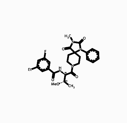 CCc1cc(F)cc(C(=O)N[C@@H](C(=O)N2CCC3(CC2)C(=O)N(C)C(=O)N3c2ccccc2)[C@H](C)OC)c1